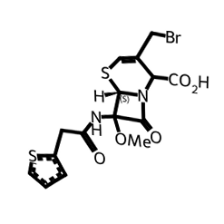 COC1(NC(=O)Cc2cccs2)C(=O)N2C(C(=O)O)C(CBr)=CS[C@H]21